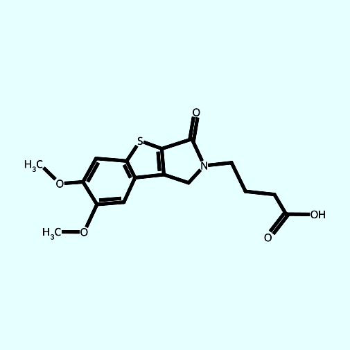 COc1cc2sc3c(c2cc1OC)CN(CCCC(=O)O)C3=O